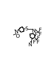 CC(=O)N(C)c1ccc(SCCN(CC(F)(F)F)c2ccc(C#N)c(C(F)(F)F)c2)cc1